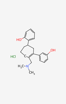 CN(C)CC1=C(c2cccc(O)c2)CC(c2ccccc2O)CCC1.Cl